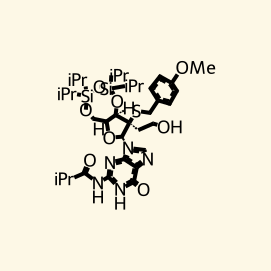 COc1ccc(CS[C@]2(CCO)[C@@H]3O[Si](C(C)C)(C(C)C)O[Si](C(C)C)(C(C)C)OC[C@H]3O[C@H]2n2cnc3c(=O)[nH]c(NC(=O)C(C)C)nc32)cc1